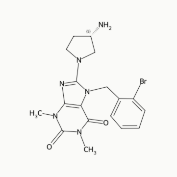 Cn1c(=O)c2c(nc(N3CC[C@H](N)C3)n2Cc2ccccc2Br)n(C)c1=O